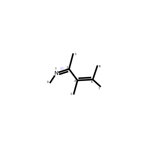 C/N=C(/C)C(C)=C(C)C